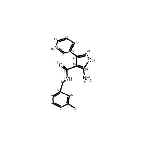 Cc1cccc(CNC(=O)c2c(-c3cccnc3)noc2N)c1